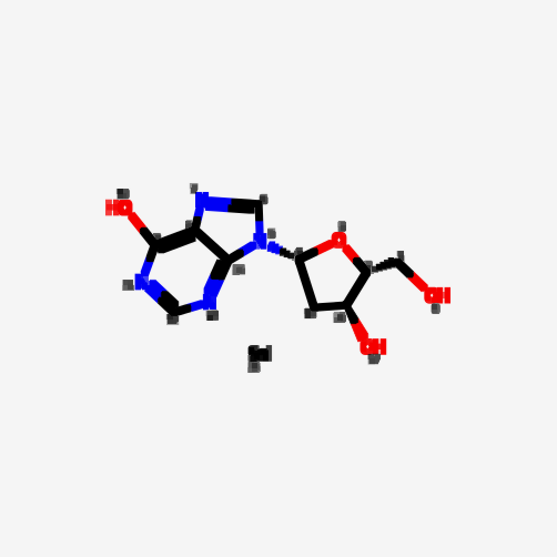 OC[C@H]1O[C@@H](n2cnc3c(O)ncnc32)C[C@@H]1O.[Sn]